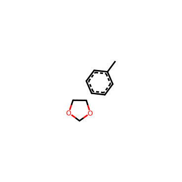 C1COCO1.Cc1ccccc1